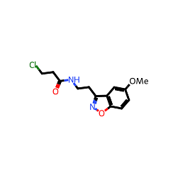 COc1ccc2onc(CCNC(=O)CCCl)c2c1